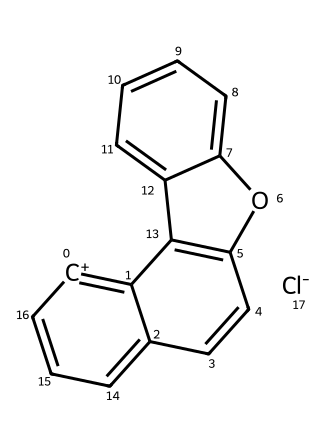 [C+]1=c2c(ccc3oc4ccccc4c23)=CC=C1.[Cl-]